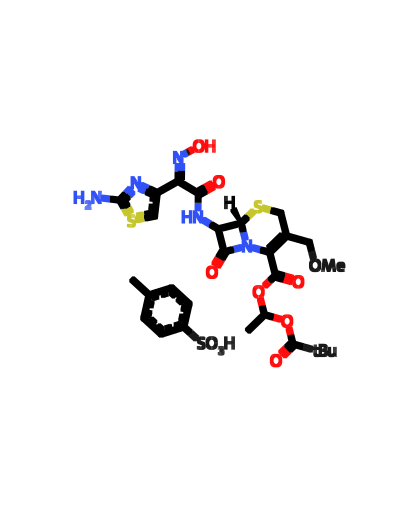 COCC1=C(C(=O)OC(C)OC(=O)C(C)(C)C)N2C(=O)C(NC(=O)/C(=N\O)c3csc(N)n3)[C@@H]2SC1.Cc1ccc(S(=O)(=O)O)cc1